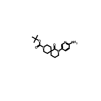 CC(C)(C)OC(=O)N1CCC2(CCCN(c3ccc(N)nc3)C2=O)CC1